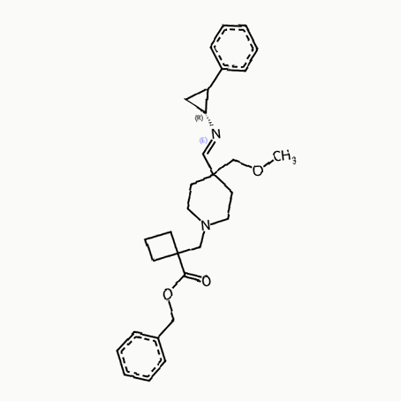 COCC1(/C=N/[C@@H]2CC2c2ccccc2)CCN(CC2(C(=O)OCc3ccccc3)CCC2)CC1